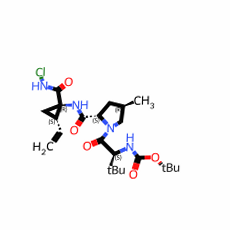 C=C[C@@H]1C[C@]1(NC(=O)[C@@H]1C[C@@H](C)CN1C(=O)[C@@H](NC(=O)OC(C)(C)C)C(C)(C)C)C(=O)NCl